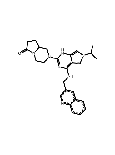 CC(C)N1C=C2NC(N3CCN4C(=O)CCC4C3)=NC(NCc3cnc4ccccc4c3)=C2C1